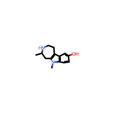 CC1Cc2c(c3cc(O)ccc3n2C)CCN1